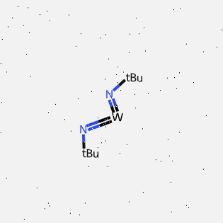 CC(C)(C)[N]=[W]=[N]C(C)(C)C